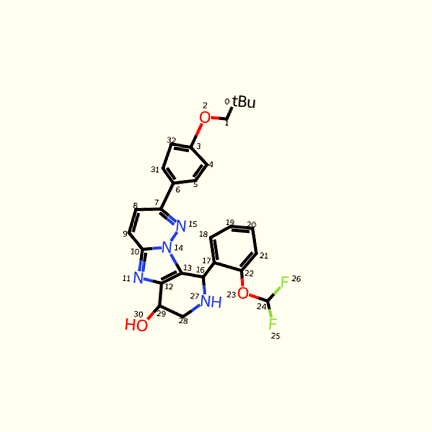 CC(C)(C)COc1ccc(-c2ccc3nc4c(n3n2)C(c2ccccc2OC(F)F)NCC4O)cc1